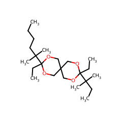 CCCCC(C)(C)C1(CC)OCC2(COC(CC)(C(C)(C)CC)OC2)CO1